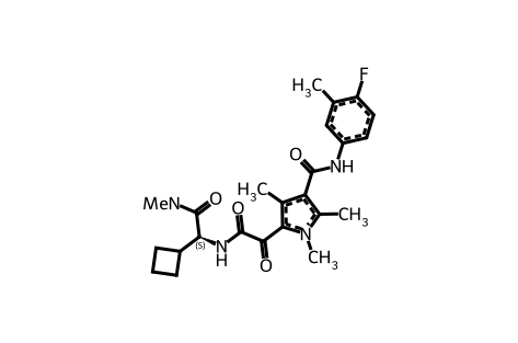 CNC(=O)[C@@H](NC(=O)C(=O)c1c(C)c(C(=O)Nc2ccc(F)c(C)c2)c(C)n1C)C1CCC1